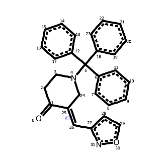 O=C1CCN(C(c2ccccc2)(c2ccccc2)c2ccccc2)C/C1=C\c1ccon1